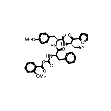 COc1ccc(C[C@H](NC(=O)C(Cc2ccccc2)NC(=O)OC(=O)c2ccccc2OC)C(=O)N[C@@H](CC(C)C)C(=O)c2ccco2)cc1